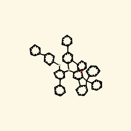 c1ccc(-c2ccc(Oc3ccc(-c4ccccc4)cc3N(c3ccc4c(c3)-c3ccccc3C4(c3ccccc3)c3ccccc3)c3ccc(-c4ccccc4)cc3-c3ccccc3)cc2)cc1